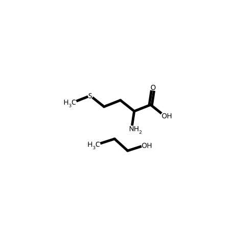 CCCO.CSCCC(N)C(=O)O